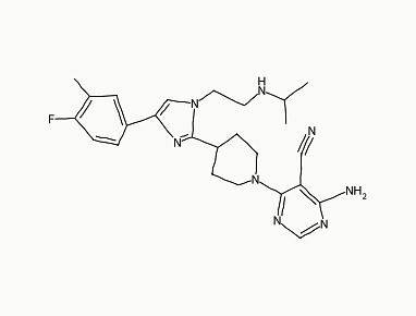 Cc1cc(-c2cn(CCNC(C)C)c(C3CCN(c4ncnc(N)c4C#N)CC3)n2)ccc1F